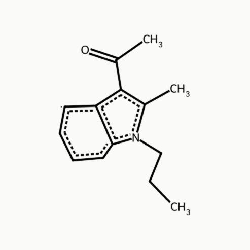 CCCn1c(C)c(C(C)=O)c2[c]cccc21